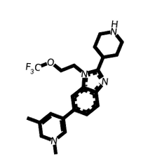 CC1=CC(c2ccc3nc(C4CCNCC4)n(CCOC(F)(F)F)c3c2)=CN(C)C1